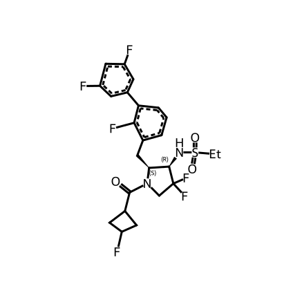 CCS(=O)(=O)N[C@@H]1[C@H](Cc2cccc(-c3cc(F)cc(F)c3)c2F)N(C(=O)C2CC(F)C2)CC1(F)F